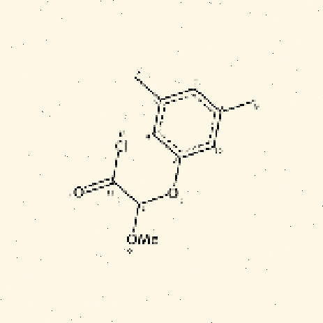 COC(Oc1cc(C)cc(C)c1)C(=O)Cl